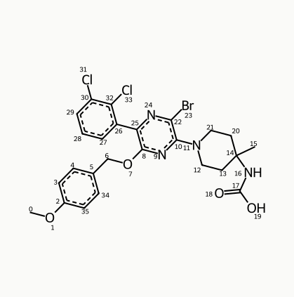 COc1ccc(COc2nc(N3CCC(C)(NC(=O)O)CC3)c(Br)nc2-c2cccc(Cl)c2Cl)cc1